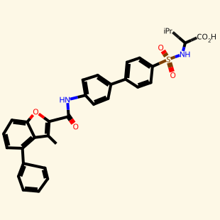 Cc1c(C(=O)Nc2ccc(-c3ccc(S(=O)(=O)NC(C(=O)O)C(C)C)cc3)cc2)oc2cccc(-c3ccccc3)c12